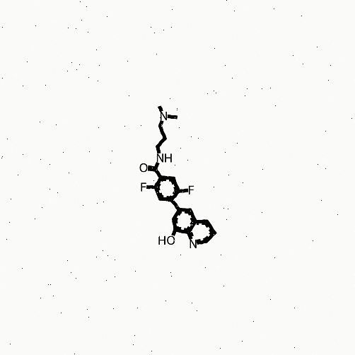 CN(C)CCCNC(=O)c1cc(F)c(-c2cc(O)c3ncccc3c2)cc1F